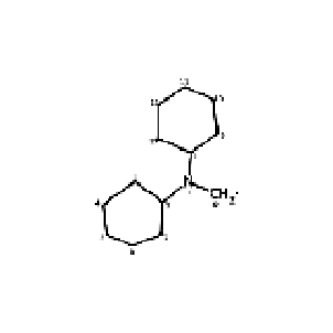 [CH2]N(C1CCCCC1)C1CCCCC1